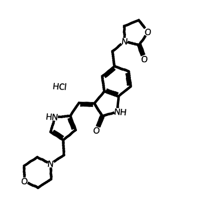 Cl.O=C1Nc2ccc(CN3CCOC3=O)cc2C1=Cc1cc(CN2CCOCC2)c[nH]1